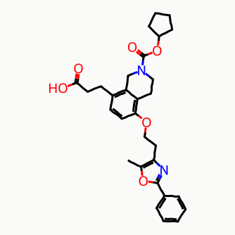 Cc1oc(-c2ccccc2)nc1CCOc1ccc(CCC(=O)O)c2c1CCN(C(=O)OC1CCCC1)C2